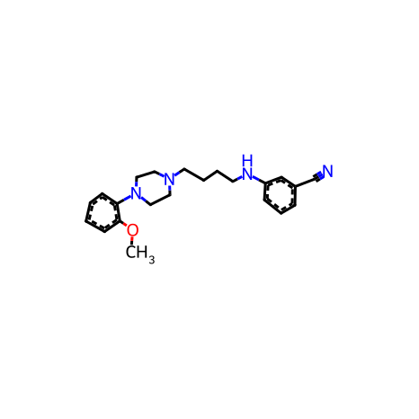 COc1ccccc1N1CCN(CCCCNc2cccc(C#N)c2)CC1